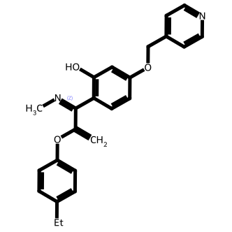 C=C(Oc1ccc(CC)cc1)/C(=N\C)c1ccc(OCc2ccncc2)cc1O